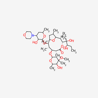 CC[C@@H](O)[C@@](C)(O)[C@@H]1OC(=O)[C@H](C)[C@@H](O[C@H]2CC(C)(OC)[C@@H](O)C(C)O2)[C@H](C)[C@@H](O[C@@H]2OC(C)CC(N3CCOCC3)C2O)[C@@]2(C)CC(C)C(O2)[C@@H]1C